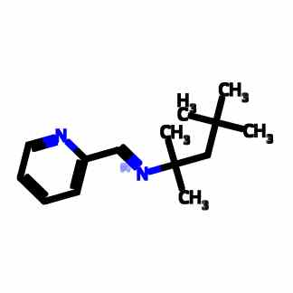 CC(C)(C)CC(C)(C)/N=C/c1ccccn1